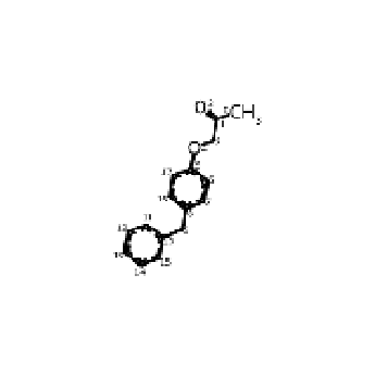 CC(=O)COc1ccc(Cc2ccccc2)cc1